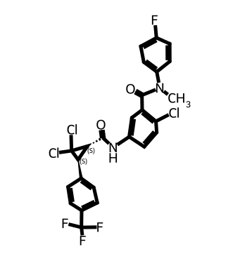 CN(C(=O)c1cc(NC(=O)[C@@H]2[C@@H](c3ccc(C(F)(F)F)cc3)C2(Cl)Cl)ccc1Cl)c1ccc(F)cc1